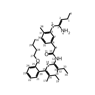 CC/C=C(\N)Sc1cc(CC(=O)N/C(S/C(=C(/C)CC)c2ccccc2OCCCC)=C(/C)CC)ccc1C